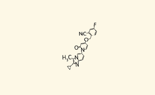 Cc1c(C2CC2)nc2ccc(-n3ccc(OCc4ccc(F)cc4C#N)cc3=O)cn12